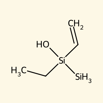 C=C[Si](O)([SiH3])CC